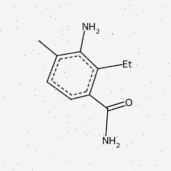 CCc1c(C(N)=O)ccc(C)c1N